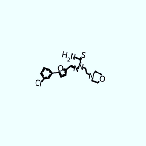 NC(=S)N(CCN1CCOCC1)N=Cc1ccc(-c2cccc(Cl)c2)o1